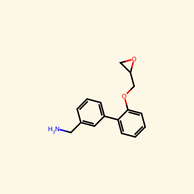 NCc1cccc(-c2ccccc2OCC2CO2)c1